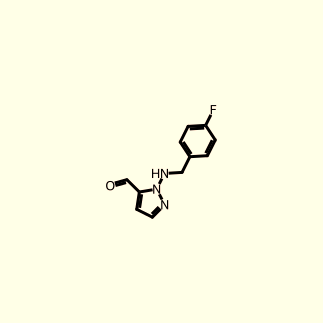 O=Cc1ccnn1NCc1ccc(F)cc1